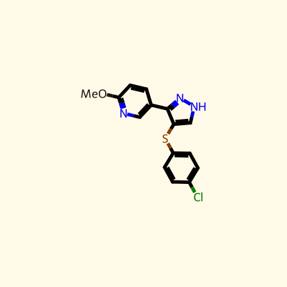 COc1ccc(-c2n[nH]cc2Sc2ccc(Cl)cc2)cn1